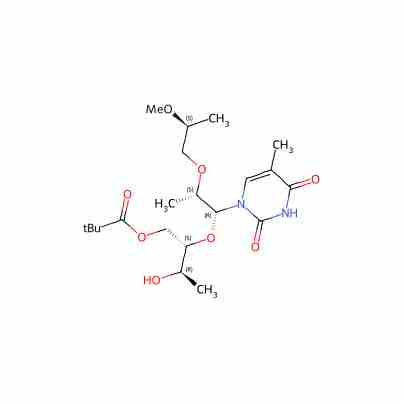 CO[C@@H](C)CO[C@@H](C)[C@@H](O[C@@H](COC(=O)C(C)(C)C)[C@@H](C)O)n1cc(C)c(=O)[nH]c1=O